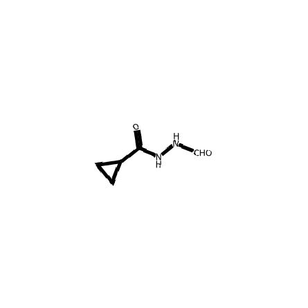 O=CNNC(=O)C1CC1